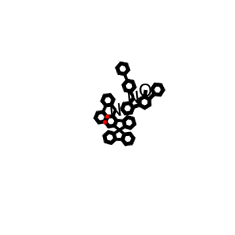 c1ccc(-c2ccc(-n3c4cc(N(c5ccccc5-c5ccccc5)c5cccc6c5-c5ccccc5C65c6ccccc6-c6ccccc65)ccc4c4ccc5c6ccccc6oc5c43)cc2)cc1